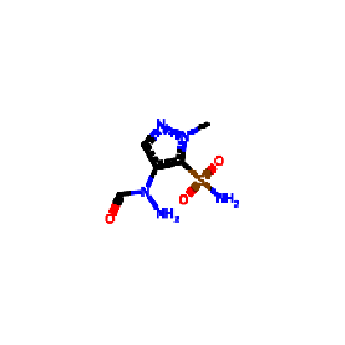 Cn1ncc(N(N)C=O)c1S(N)(=O)=O